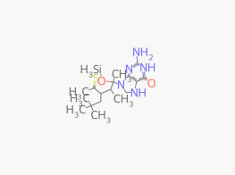 CC(=S)C(CC(C)(C)C)C(C)C(C)(O[SiH3])N1CNc2c1nc(N)[nH]c2=O